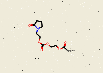 CCCC(C)C(=O)OCCOC(=O)OCCN1CCCC1=O